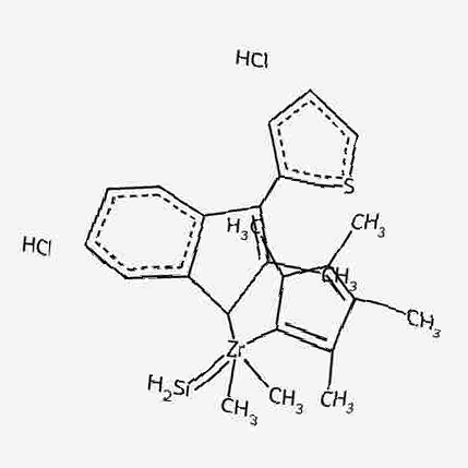 CC1=C(C)C(C)[C]([Zr]([CH3])([CH3])(=[SiH2])[CH]2C(C)=C(c3cccs3)c3ccccc32)=C1C.Cl.Cl